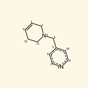 C1=CCN(Cc2ccncc2)CC1